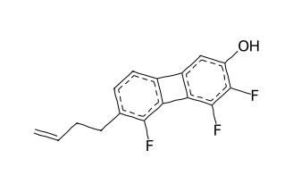 C=CCCc1ccc2c(c1F)-c1c-2cc(O)c(F)c1F